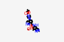 COCOc1c(NC(=O)c2ccc(N3CCN(C(=O)OC(C)(C)C)CC3)c3ccnnc23)cc2cn(C)nc2c1C